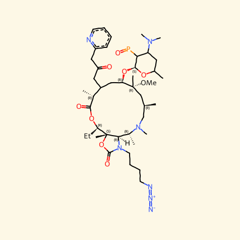 CC[C@H]1OC(=O)[C@H](C)C(CC(=O)Cc2ccccn2)C[C@@H](O[C@@H]2OC(C)CC(N(C)C)C2P=O)[C@](C)(OC)C[C@@H](C)CN(C)[C@H](C)[C@H]2N(CCCCN=[N+]=[N-])C(=O)O[C@]12C